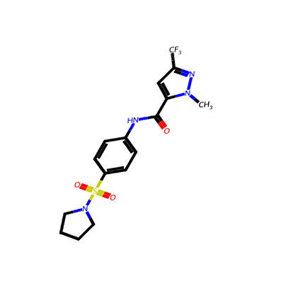 Cn1nc(C(F)(F)F)cc1C(=O)Nc1ccc(S(=O)(=O)N2CCCC2)cc1